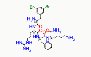 N=C(N)NCCC[C@@H](NC(=O)[C@@H](N)Cc1cc(Br)cc(Br)c1)C(=O)N[C@@H](Cc1ccccc1)C(=O)N[C@@H](CCCCN)C(N)=O